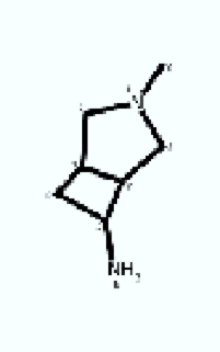 CN1CC2CC(N)C2C1